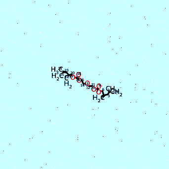 C=C(C)CC(=C)COC(=O)OCCOCCOC(=O)OCC(=C)CC(=C)C